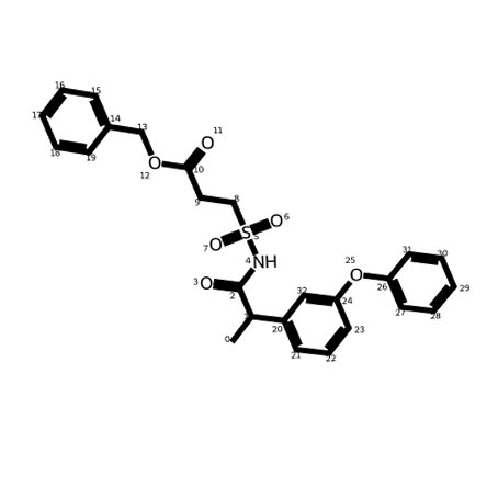 CC(C(=O)NS(=O)(=O)CCC(=O)OCc1ccccc1)c1cccc(Oc2ccccc2)c1